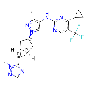 Cc1nn([C@H]2C[C@@H]3[C@H](C2)[C@H]3c2ncnn2C)cc1Nc1ncc(C(F)(F)F)c(C2CC2)n1